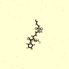 CCCCS(=O)(=O)NCCC[C@H](N)C(=O)N1CCCC1